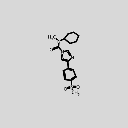 CN(C(=O)n1cnc(-c2ccc(S(C)(=O)=O)cc2)c1)C1CCCCC1